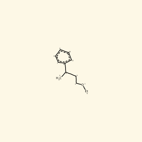 CCOCCC(C)c1ccccc1